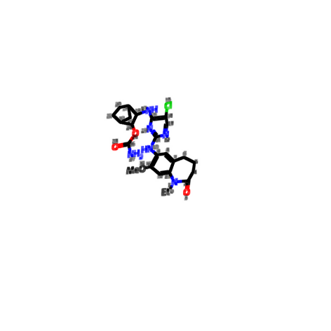 CCN1C(=O)CCCc2cc(Nc3ncc(Cl)c(NC4C5CCC(C5)C4OC(N)=O)n3)c(OC)cc21